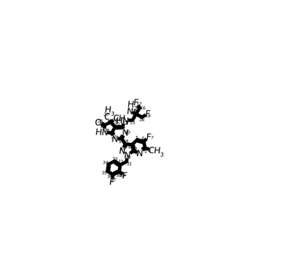 Cc1nc2c(cc1F)c(-c1nc(NCC(N)(CF)CF)c3c(n1)NC(=O)C3(C)C)nn2Cc1cccc(F)c1F